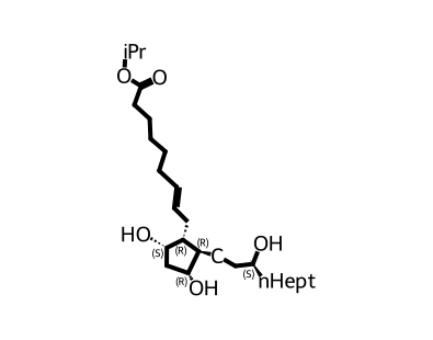 CCCCCCC[C@H](O)CC[C@@H]1[C@@H](CC=CCCCCCC(=O)OC(C)C)[C@@H](O)C[C@H]1O